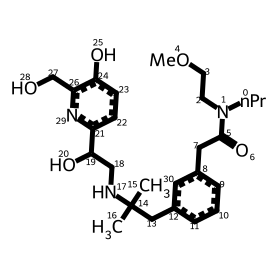 CCCN(CCOC)C(=O)Cc1cccc(CC(C)(C)NCC(O)c2ccc(O)c(CO)n2)c1